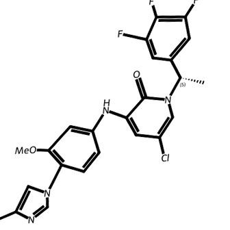 COc1cc(Nc2cc(Cl)cn([C@@H](C)c3cc(F)c(F)c(F)c3)c2=O)ccc1-n1cnc(C)c1